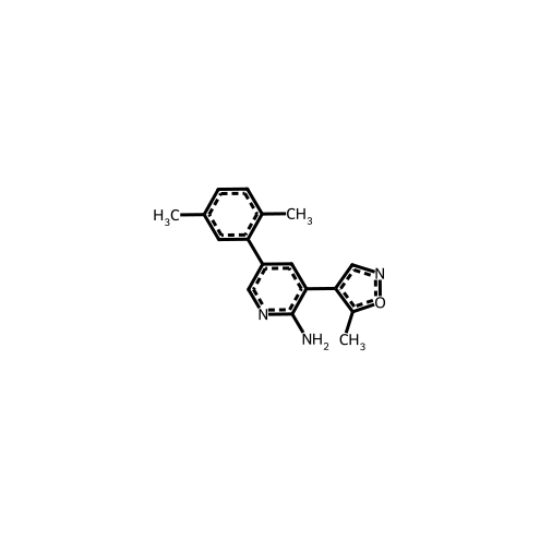 Cc1ccc(C)c(-c2cnc(N)c(-c3cnoc3C)c2)c1